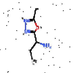 Cc1nnc(C(N)CC(C)C)o1